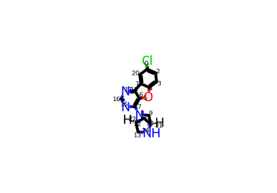 Clc1ccc2oc3c(N4C[C@@H]5C[C@H]4CN5)ncnc3c2c1